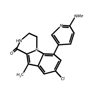 CNc1ccc(-c2cc(Cl)cc3c(C)c4n(c23)CCNC4=O)cn1